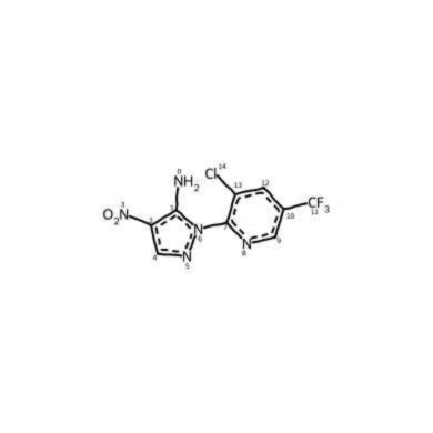 Nc1c([N+](=O)[O-])cnn1-c1ncc(C(F)(F)F)cc1Cl